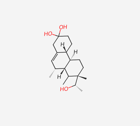 CC1[C@H]2[C@H](CC[C@]1(C)[C@H](C)O)[C@H]1CCC(O)(O)CC1=C[C@H]2C